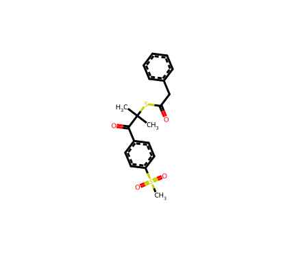 CC(C)(SC(=O)Cc1ccccc1)C(=O)c1ccc(S(C)(=O)=O)cc1